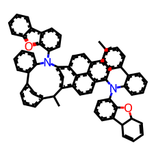 CC(C)c1cc(N(c2ccccc2-c2ccccc2)c2cccc3c2OC2C=CC=CC32)c2ccc3c4cc(c5ccc1c2c35)N(c1cccc2c1oc1ccccc12)c1ccccc1-c1cccc(c1)C4C